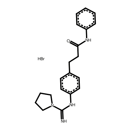 Br.N=C(Nc1ccc(CCC(=O)Nc2ccccc2)cc1)N1CCCC1